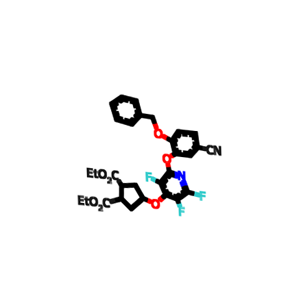 CCOC(=O)C1CC(Oc2c(F)c(F)nc(Oc3cc(C#N)ccc3OCc3ccccc3)c2F)CC1C(=O)OCC